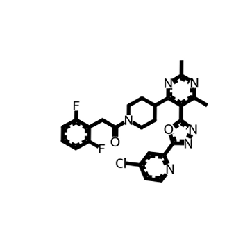 Cc1nc(C)c(-c2nnc(-c3cc(Cl)ccn3)o2)c(C2CCN(C(=O)Cc3c(F)cccc3F)CC2)n1